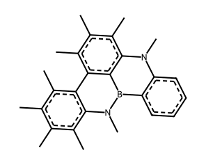 Cc1c(C)c(C)c2c(c1C)-c1c(C)c(C)c(C)c3c1B(c1ccccc1N3C)N2C